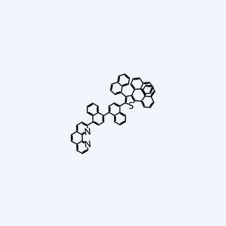 c1ccc2c(-c3sc(-c4ccc(-c5ccc(-c6ccc7ccc8cccnc8c7n6)c6ccccc56)c5ccccc45)c(-c4cccc5ccccc45)c3-c3cccc4ccccc34)cccc2c1